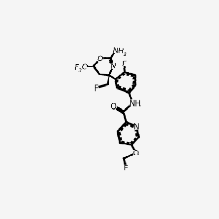 NC1=N[C@](CF)(c2cc(NC(=O)c3ccc(OCF)cn3)ccc2F)C[C@@H](C(F)(F)F)O1